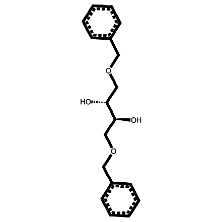 O[C@H](COCc1ccccc1)[C@@H](O)COCc1ccccc1